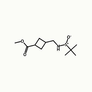 COC(=O)C1CC(CN[S+]([O-])C(C)(C)C)C1